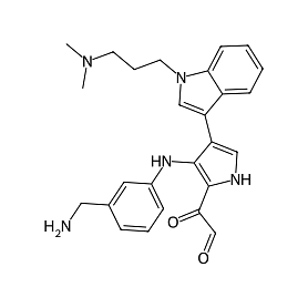 CN(C)CCCn1cc(-c2c[nH]c(C(=O)C=O)c2Nc2cccc(CN)c2)c2ccccc21